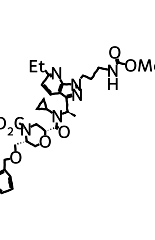 CCc1ccc2c([C@@H](C)N(C(=O)[C@H]3CN(C(=O)O)[C@@H](COCc4ccccc4)CO3)C3CC3)nn(CCCNC(=O)OC)c2n1